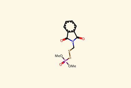 COP(=O)(OC)SSCN1C(=O)c2ccccc2C1=O